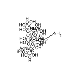 CC(=O)NC1C(OC2C(CO)OC(OC3C(CO)OC(OC(C(O)C(C)CO)C(O)C(O)COP(=O)(O)C(C)(C)OCCCCCN)C(NC(C)=O)C3OC3OC(CO)C(O)C(O)C3O)C(O)C2O)OC(CO)C(O)C1OC1OC(COC(C)C)C(O)C(O)C1O